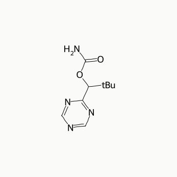 CC(C)(C)C(OC(N)=O)c1ncncn1